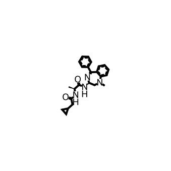 C[C@H](NC(=O)CC1CC1)C(=O)N[C@@H]1CN(C)c2ccccc2C(c2ccccc2)=N1